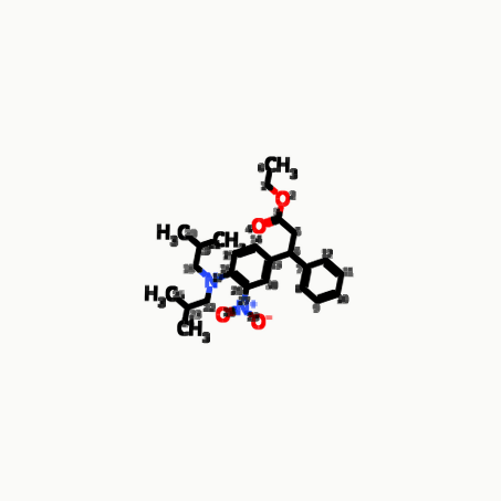 CCOC(=O)CC(c1ccccc1)c1ccc(N(CC(C)C)CC(C)C)c([N+](=O)[O-])c1